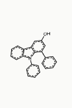 Oc1cc(-c2ccccc2)c2c(c1)c1ccccc1n2-c1ccccc1